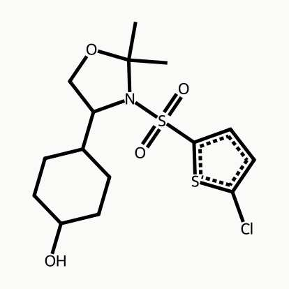 CC1(C)OCC(C2CCC(O)CC2)N1S(=O)(=O)c1ccc(Cl)s1